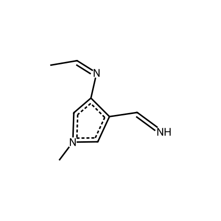 C/C=N\c1cn(C)cc1C=N